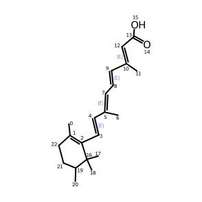 CC1=C(/C=C/C(C)=C/C=C/C(C)=C/C(=O)O)C(C)(C)C(C)CC1